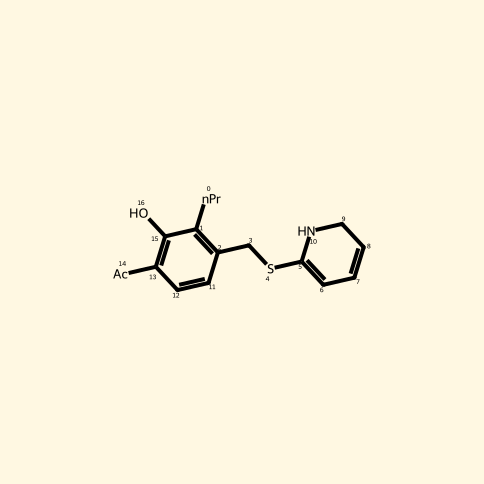 CCCc1c(CSC2=[C]C=CCN2)ccc(C(C)=O)c1O